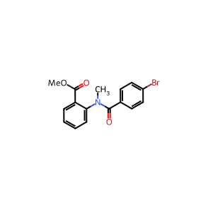 COC(=O)c1ccccc1N(C)C(=O)c1ccc(Br)cc1